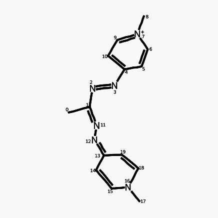 CC(N=Nc1cc[n+](C)cc1)=NN=c1ccn(C)cc1